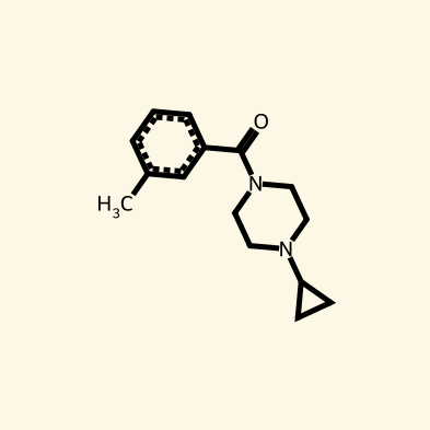 Cc1cccc(C(=O)N2CCN(C3CC3)CC2)c1